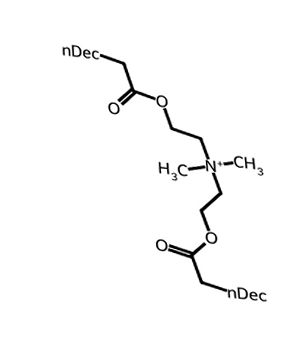 CCCCCCCCCCCC(=O)OCC[N+](C)(C)CCOC(=O)CCCCCCCCCCC